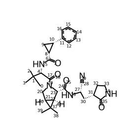 CC(C)(C)[C@H](NC(=O)[C@@H]1C[C@@H]1c1ccccc1)C(=O)N1C[C@H]2[C@@H]([C@H]1C(=O)N[C@H](C#N)C[C@@H]1CCNC1=O)C2(C)C